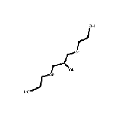 OCC[Se]CC(O)C[Se]CCO